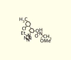 CCc1nnnn1-c1cc(OC(=O)NC(C)COC)cc(-c2ccc(C)cc2Cl)c1